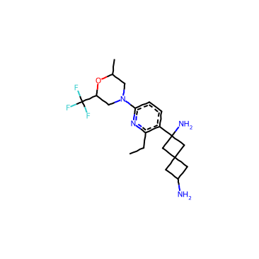 CCc1nc(N2CC(C)OC(C(F)(F)F)C2)ccc1C1(N)CC2(CC(N)C2)C1